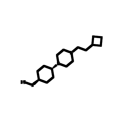 SS[C@H]1CC[C@H](N2CCN(CCC3CCC3)CC2)CC1